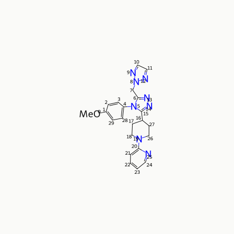 COc1ccc(-n2c(Cn3nccn3)nnc2C2CCN(c3ccccn3)CC2)cc1